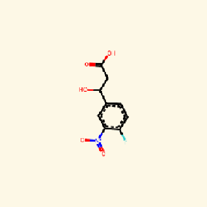 O=C(O)CC(O)c1ccc(F)c([N+](=O)[O-])c1